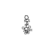 CN1C(=O)C(N=Nc2nc3c(s2)CCCC3)C(=O)NS1(=O)=O